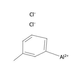 Cc1ccc[c]([Al+2])c1.[Cl-].[Cl-]